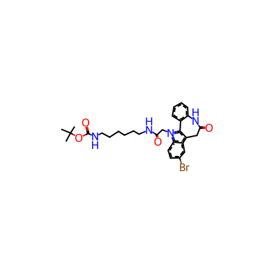 CC(C)(C)OC(=O)NCCCCCCNC(=O)Cn1c2c(c3cc(Br)ccc31)CC(=O)Nc1ccccc1-2